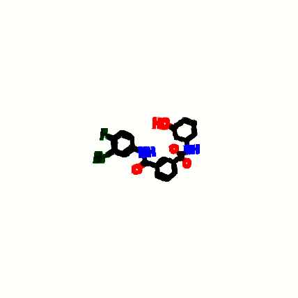 O=C(Nc1ccc(F)c(Br)c1)c1cccc(S(=O)(=O)NC2CCCC(O)C2)c1